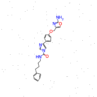 Nc1nc(COc2ccc(-c3cn(C(=O)NCCCCc4ccccc4)cn3)cc2)co1